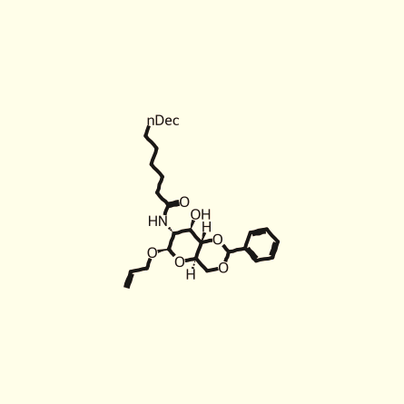 C=CCO[C@@H]1O[C@@H]2COC(c3ccccc3)O[C@H]2[C@H](O)[C@H]1NC(=O)CCCCCCCCCCCCCCC